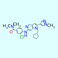 CN(C)C(=O)c1ccc(Nc2cc3c(cn2)cc(-c2cnn(C)c2)n3CC2CCCC2)c(Cl)c1